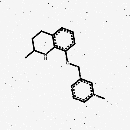 Cc1cccc(COc2cccc3c2NC(C)CC3)c1